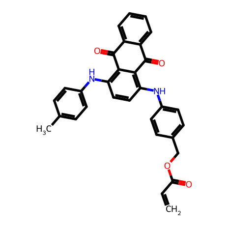 C=CC(=O)OCc1ccc(Nc2ccc(Nc3ccc(C)cc3)c3c2C(=O)c2ccccc2C3=O)cc1